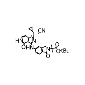 CC(C)(C)OC(=O)C(C)(C)N1Cc2cc(Nc3nn([C@@H](CC#N)C4CC4)c4cc[nH]c(=O)c34)ccc2C1=O